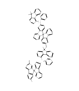 Cc1ccc2c(c1)C1(c3ccccc3-c3cc(N(c4ccccc4)c4cccc5c4-c4ccccc4C5(C)Cc4ccc5c(c4)-c4ccccc4C54c5ccccc5-c5cc(N(c6ccccc6)c6cccc7c6-c6ccccc6C7(C)C)ccc54)ccc31)c1cc(C)ccc1-2